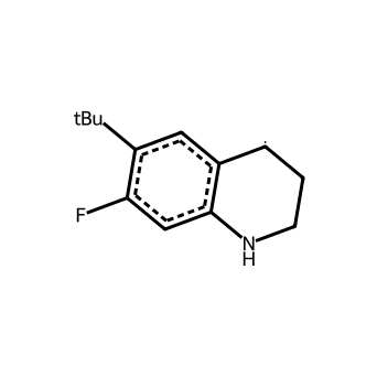 CC(C)(C)c1cc2c(cc1F)NCC[CH]2